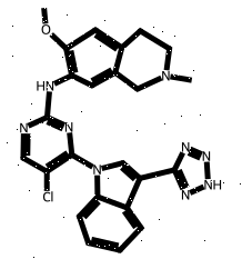 COc1cc2c(cc1Nc1ncc(Cl)c(-n3cc(-c4nn[nH]n4)c4ccccc43)n1)CN(C)CC2